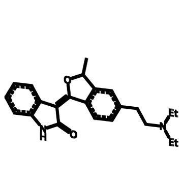 CCN(CC)CCc1ccc2c(c1)C(C)OC2=C1C(=O)Nc2ccccc21